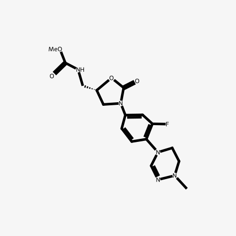 COC(=O)NC[C@H]1CN(c2ccc(N3C=NN(C)CC3)c(F)c2)C(=O)O1